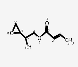 CC=CC(=O)OCC(CC)C1CO1